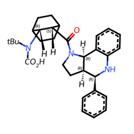 CC(C)(C)N(C(=O)O)[C@@H]1C2CCC(CC2)[C@@H]1C(=O)N1CC[C@@H]2[C@H](c3ccccc3)Nc3ccccc3[C@@H]21